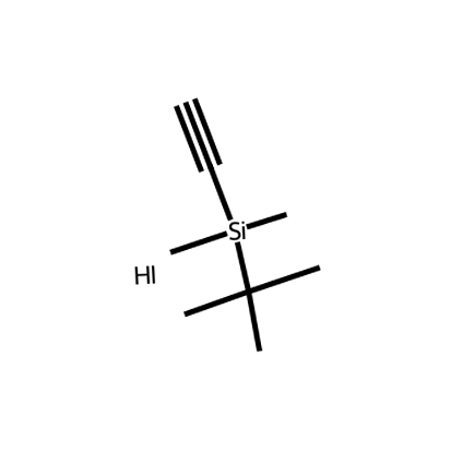 C#C[Si](C)(C)C(C)(C)C.I